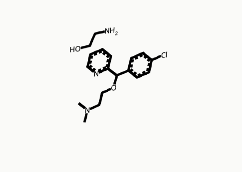 CN(C)CCOC(c1ccc(Cl)cc1)c1ccccn1.NCCO